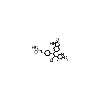 COc1cc(C)c(C(=C(c2ccc(C=CC(=O)O)cc2)c2ccc3sc(=O)[nH]c3c2)C2CCC2)cn1